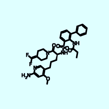 CCC(=O)Nc1c(-c2ccccc2)cccc1S(=O)(=O)N[C@@H](CCCc1cnc(N)cc1OC)C(=O)N1CCC(=C(F)F)CC1